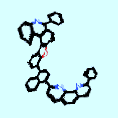 c1ccc(-c2ccc3ccc4ccc(-c5ccc(-c6cccc7c6oc6ccc8c(-c9ccccc9)nc9ccccc9c8c67)c6ccccc56)nc4c3n2)cc1